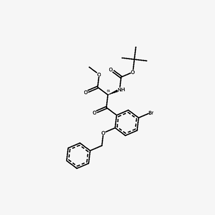 COC(=O)[C@@H](NC(=O)OC(C)(C)C)C(=O)c1cc(Br)ccc1OCc1ccccc1